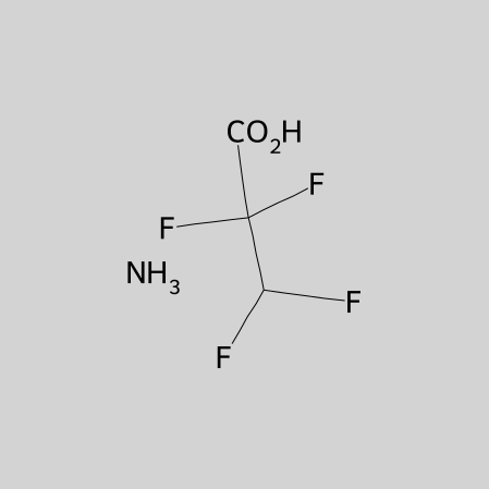 N.O=C(O)C(F)(F)C(F)F